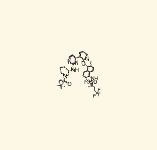 Cc1ccc2c(NS(=O)(=O)N(C)CCC(F)(F)F)c(F)ccc2c1Oc1ncccc1-c1ccnc(N[C@H]2CCCN(C(=O)OC(C)(C)C)C2)n1